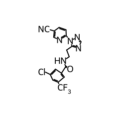 N#Cc1ccc(-n2ncnc2CCNC(=O)c2cc(Cl)cc(C(F)(F)F)c2)nc1